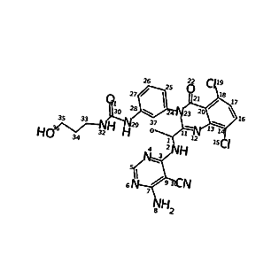 CC(Nc1ncnc(N)c1C#N)c1nc2c(Cl)ccc(Cl)c2c(=O)n1-c1cccc(NC(=O)NCCCO)c1